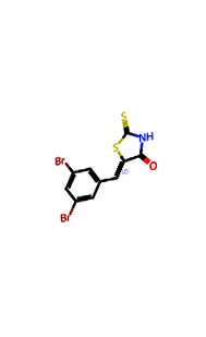 O=C1NC(=S)S/C1=C\c1cc(Br)cc(Br)c1